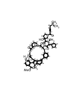 CCn1c(-c2cnccc2[C@H](C)OC)c2c3cc(ccc31)-c1cccc(c1)C[C@H](NC(=O)[C@H](C1CCCC1)N(C)C(=O)C1(O)CCN(C(=O)C#CCN(C)C)C1)C(=O)N1CCC[C@H](N1)C(=O)OCC(C)(C)C2